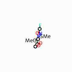 COc1cc(/N=C(\SC)N(C)C(=O)c2ccc(F)cc2)ccc1-c1cc2ccccc2oc1=O